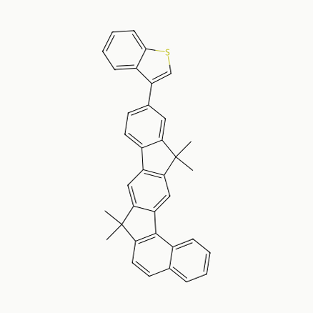 CC1(C)c2cc(-c3csc4ccccc34)ccc2-c2cc3c(cc21)-c1c(ccc2ccccc12)C3(C)C